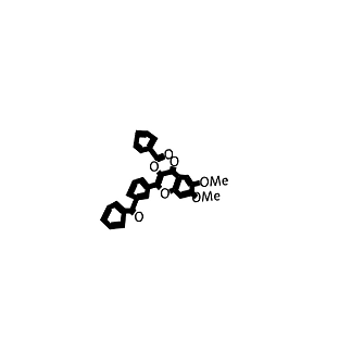 COc1cc2oc(-c3cccc(C(=O)c4ccccc4)c3)c(OC(=O)c3ccccc3)c(=O)c2cc1OC